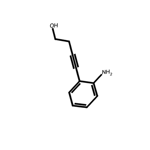 Nc1ccccc1C#CCCO